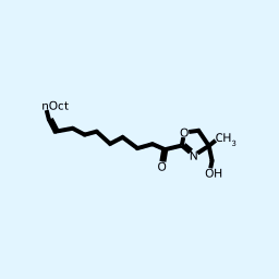 CCCCCCCC/C=C\CCCCCCCC(=O)C1=NC(C)(CO)CO1